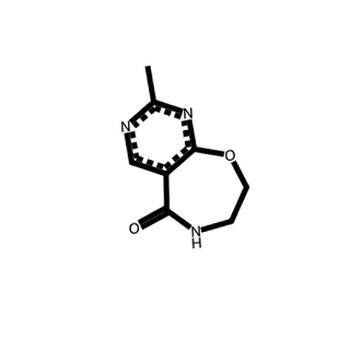 Cc1ncc2c(n1)OCCNC2=O